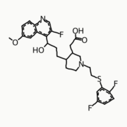 COc1ccc2ncc(F)c(C(O)CCC3CCN(CCSc4cc(F)ccc4F)CC3CC(=O)O)c2c1